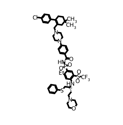 CCOP(=O)(NC(=O)c1ccc(N2CCN(CC3=C(c4ccc(Cl)cc4)CCC(C)(C)C3)CC2)cc1)c1ccc(N[C@H](CCN2CCOCC2)CSc2ccccc2)c(S(=O)(=O)C(F)(F)F)c1